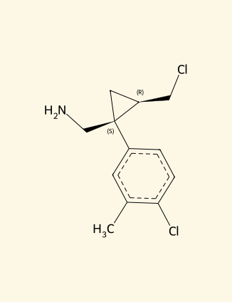 Cc1cc([C@]2(CN)C[C@H]2CCl)ccc1Cl